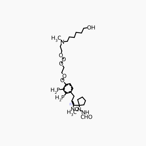 CN(CCCCCCO)CCOOOCCOOc1ccc(C/C=C(/N=O)C2(N(C)NC=O)CCCC2)c(P)c1P